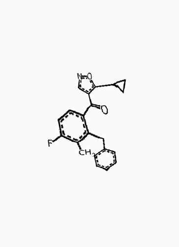 Cc1c(F)ccc(C(=O)c2cnoc2C2CC2)c1Cc1ccccc1